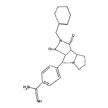 N=C(N)c1ccc(C2C3C(=O)N(CC4CCCCC4)C(=O)C3C3CCCN32)cc1